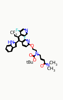 CN(C)C(=O)/C=C/CN(CCOc1ccc(/C(=C(/CC(F)(F)F)c2c(F)cncc2F)c2cc3ccccc3[nH]2)cn1)C(=O)OC(C)(C)C